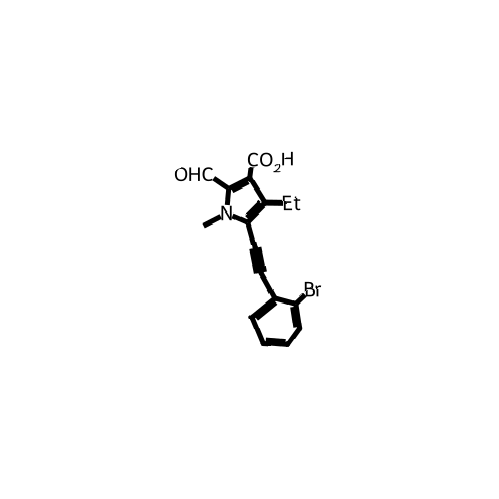 CCc1c(C(=O)O)c(C=O)n(C)c1C#Cc1ccccc1Br